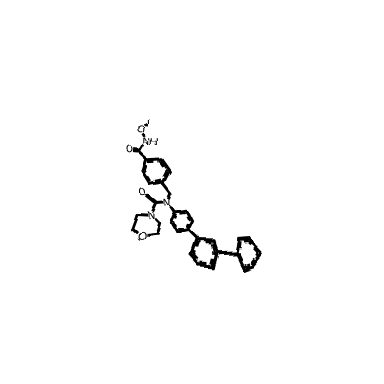 O=C(NOI)c1ccc(CN(C(=O)N2CCOCC2)c2ccc(-c3cccc(-c4ccccc4)c3)cc2)cc1